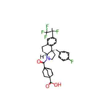 CC(F)(c1ccc2c(c1)CC[C@@H]1N(C(=O)C34CCC(C(=O)O)(CC3)CC4)CC[C@]21Cc1ccc(F)cc1)C(F)(F)F